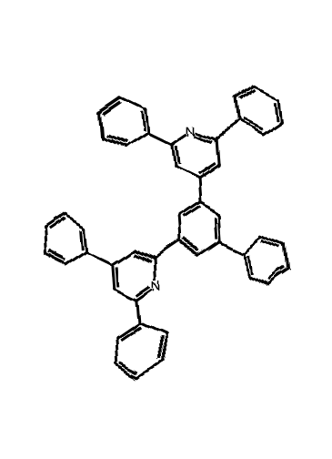 c1ccc(-c2cc(-c3cc(-c4ccccc4)nc(-c4ccccc4)c3)cc(-c3cc(-c4ccccc4)cc(-c4ccccc4)n3)c2)cc1